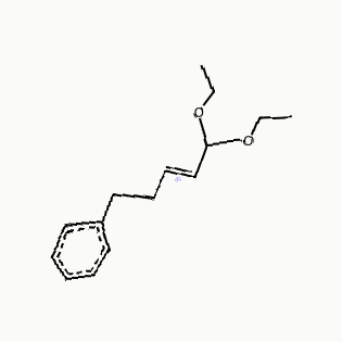 CCOC(/C=C/CCc1ccccc1)OCC